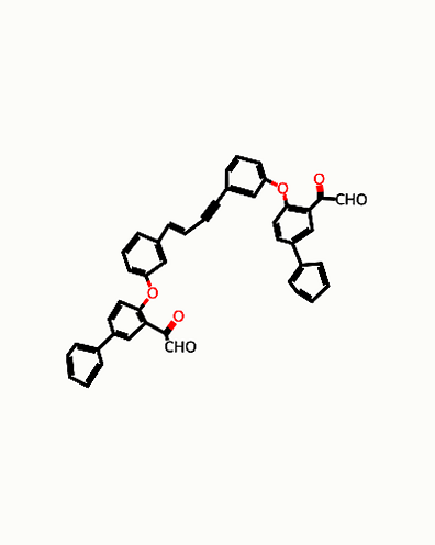 O=CC(=O)c1cc(-c2ccccc2)ccc1Oc1cccc(C#CC=Cc2cccc(Oc3ccc(-c4ccccc4)cc3C(=O)C=O)c2)c1